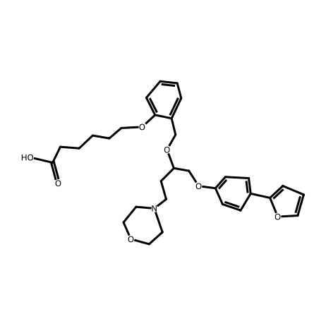 O=C(O)CCCCCOc1ccccc1COC(CCN1CCOCC1)COc1ccc(-c2ccco2)cc1